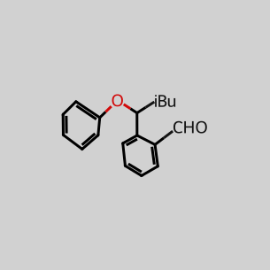 CCC(C)C(Oc1ccccc1)c1ccccc1C=O